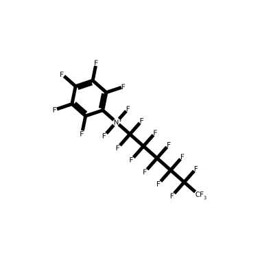 Fc1c(F)c(F)c([N+](F)(F)C(F)(F)C(F)(F)C(F)(F)C(F)(F)C(F)(F)C(F)(F)F)c(F)c1F